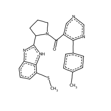 CSc1cccc2nc(C3CCCN3C(=O)c3cncnc3-c3ccc(C)cc3)[nH]c12